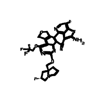 N#Cc1c(N)sc2c(F)cnc(-c3c4c(c5c(OCC(F)(F)F)nc(OC[C@@]67CCCN6C[C@H](F)C7)nc5c3F)COC4)c12